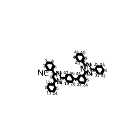 N#Cc1ccccc1-c1cc(-c2ccccc2)nc(-c2ccc(-c3cccc(-c4nc(-c5ccccc5)nc(-c5ccccc5)n4)c3)cc2)n1